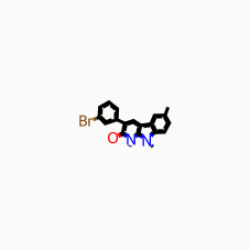 Cc1ccc2c(c1)c1cc(-c3cccc(Br)c3)c(=O)n(C)c1n2C